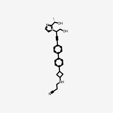 C[C@H](O)c1nccn1C(C#Cc1ccc(-c2ccc(C3CC(NCCC#N)C3)cc2)cc1)CO